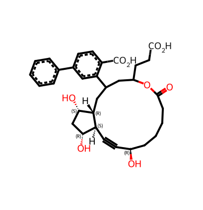 O=C(O)CCC1CC(c2cc(-c3ccccc3)ccc2C(=O)O)C[C@@H]2[C@@H](C#C[C@H](O)CCCCC(=O)O1)[C@H](O)C[C@@H]2O